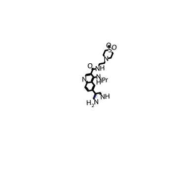 CC(C)Nc1c(C(=O)NCCN2CCS(=O)(=O)CC2)cnc2ccc(/C(C=N)=C/N)cc12